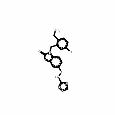 NCc1ccc(Cl)cc1Cn1c(=O)oc2cc(SNc3ncns3)ccc21